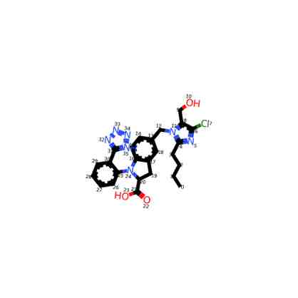 CCCCc1nc(Cl)c(CO)n1Cc1ccc2c(c1)CC(C(=O)O)N2c1ccccc1-c1nnn[nH]1